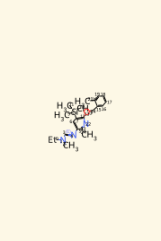 CCN(C)/C=N/c1cc([Si](C)(C)C)c(OCc2ccccc2C)nc1C